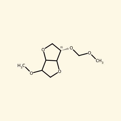 COCO[C@H]1COC2C(OC)COC21